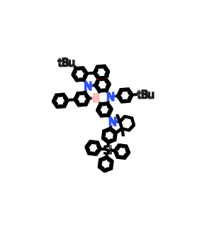 Cc1cc2c3c(c1)N(c1ccc(C(C)(C)C)cc1-c1ccccc1)c1cc(-c4ccccc4)ccc1B3c1ccc(N3c4ccc([Si](c5ccccc5)(c5ccccc5)c5ccccc5)cc4C4(C)CCCCC34C)cc1N2c1ccc(C(C)(C)C)cc1